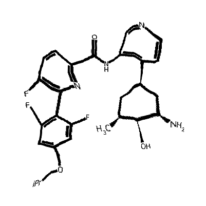 CC(C)Oc1cc(F)c(-c2nc(C(=O)Nc3cnccc3[C@H]3C[C@@H](N)[C@@H](O)[C@@H](C)C3)ccc2F)c(F)c1